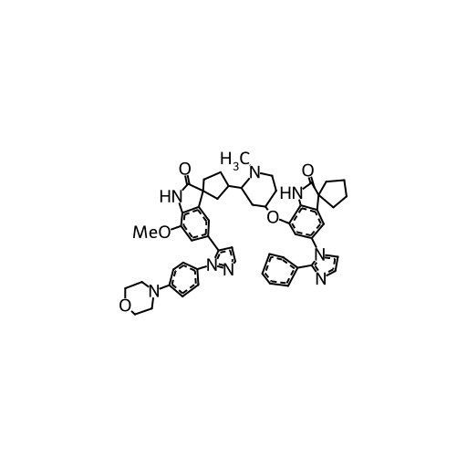 COc1cc(-c2ccnn2-c2ccc(N3CCOCC3)cc2)cc2c1NC(=O)C21CCC(C2CC(Oc3cc(-n4ccnc4-c4ccccc4)cc4c3NC(=O)C43CCCC3)CCN2C)C1